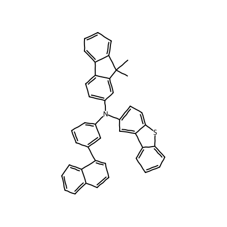 CC1(C)c2ccccc2-c2ccc(N(c3cccc(-c4cccc5ccccc45)c3)c3ccc4sc5ccccc5c4c3)cc21